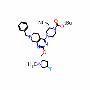 CN1C[C@H](F)C[C@H]1COc1nc2c(c(N3CCN(C(=O)OC(C)(C)C)[C@@H](CC#N)C3)n1)CCN(Cc1ccccc1)C2